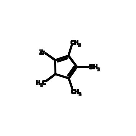 CC1=[C]([Zr])C(C)C(C)=C1[SiH3]